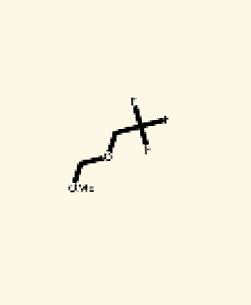 COCOCC(F)(F)F